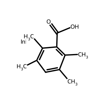 Cc1cc(C)c(C)c(C(=O)O)c1C.[In]